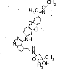 CCO/N=C(\C)c1cccc(Oc2ccc(Nc3ncnc4c3C(CCNC(=O)CC(C)(C)O)C=C4)cc2Cl)c1